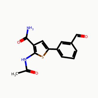 CC(=O)Nc1sc(-c2cccc(C=O)c2)cc1C(N)=O